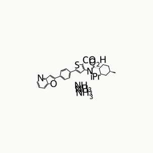 CC(C)N(c1cc(-c2ccc(-c3cc4ncccc4o3)cc2)sc1C(=O)O)C(=O)[C@H]1CC[C@H](C)CC1.N.N.N